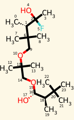 C[C@H](C(C)(O)F)C(C)(C)COC(C)(C)CO[C@@H](O)[C@H](C)C(C)(C)C